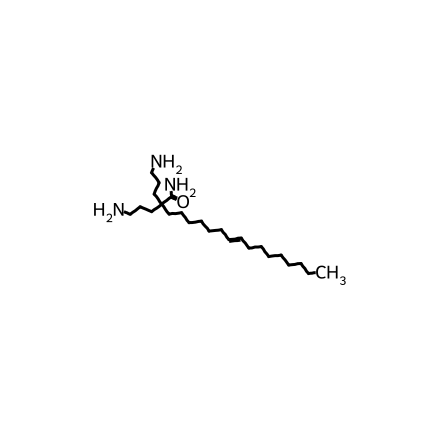 CCCCCCCCC=CCCCCCCC(CCCN)(CCCN)C(N)=O